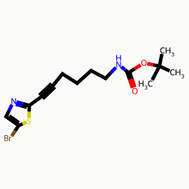 CC(C)(C)OC(=O)NCCCCC#Cc1ncc(Br)s1